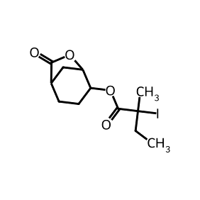 CCC(C)(I)C(=O)OC1CCC2CC1OC2=O